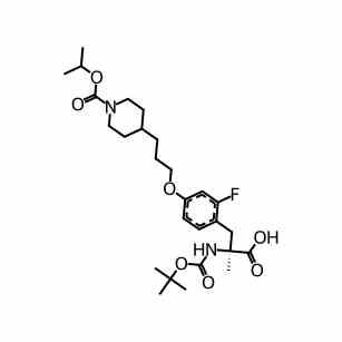 CC(C)OC(=O)N1CCC(CCCOc2ccc(C[C@](C)(NC(=O)OC(C)(C)C)C(=O)O)c(F)c2)CC1